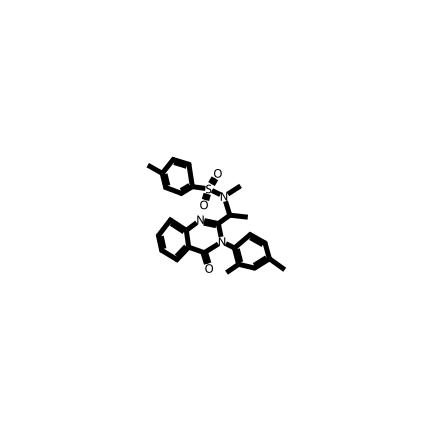 Cc1ccc(S(=O)(=O)N(C)C(C)c2nc3ccccc3c(=O)n2-c2ccc(C)cc2C)cc1